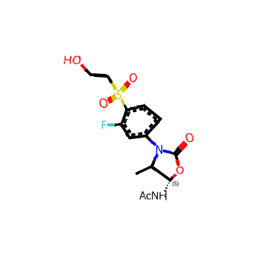 CC(=O)N[C@H]1OC(=O)N(c2ccc(S(=O)(=O)CCO)c(F)c2)C1C